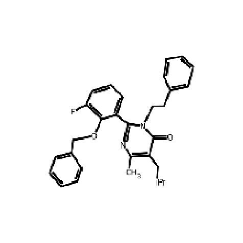 Cc1nc(-c2cccc(F)c2OCc2ccccc2)n(CCc2ccccc2)c(=O)c1CC(C)C